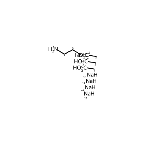 CC(=O)O.CC(=O)O.CC(=O)O.NCCN.[NaH].[NaH].[NaH].[NaH]